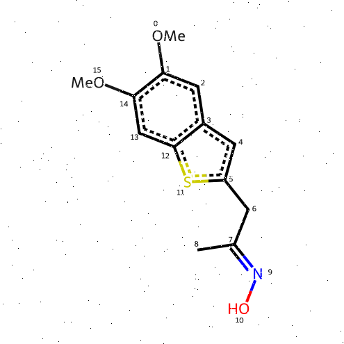 COc1cc2cc(C/C(C)=N/O)sc2cc1OC